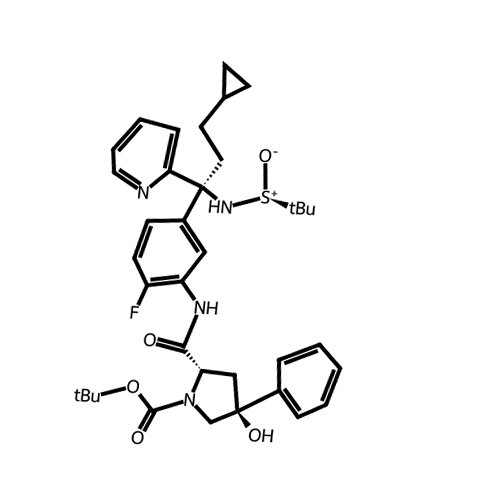 CC(C)(C)OC(=O)N1C[C@@](O)(c2ccccc2)C[C@H]1C(=O)Nc1cc([C@](CCC2CC2)(N[S@@+]([O-])C(C)(C)C)c2ccccn2)ccc1F